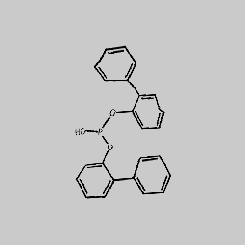 OP(Oc1ccccc1-c1ccccc1)Oc1ccccc1-c1ccccc1